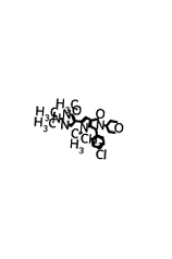 COc1nc(N(C)C)ncc1-c1cc2c(n1C(C)C)C(c1ccc(Cl)cc1)N(C1CCOCC1)C2=O